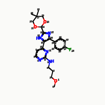 COCCCNc1nccc(-c2[nH]c(C3OCC(C)(C)CO3)nc2-c2ccc(F)cc2)n1